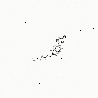 CCCCCCCCC1Cc2ccc(C3=NCC(=O)O3)cc2C1